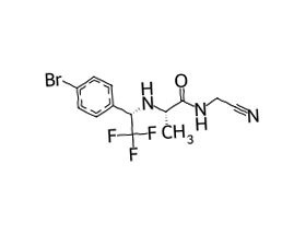 C[C@H](N[C@@H](c1ccc(Br)cc1)C(F)(F)F)C(=O)NCC#N